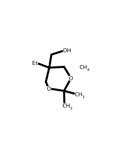 C.CCC1(CO)COC(C)(C)OC1